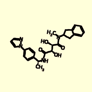 C[C@@H](NC(=O)[C@H](O)[C@@H](O)C(=O)N(C)C1Cc2ccccc2C1)c1ccc(-n2cccn2)cc1